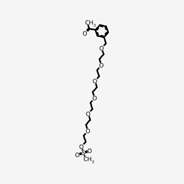 CC(=O)c1cccc(COCCOCCOCCOCCOCCOCCOS(C)(=O)=O)c1